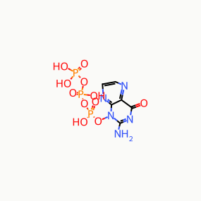 Nc1nc(=O)c2nccnc2n1OP(=O)(O)OP(=O)(O)OP(=O)(O)O